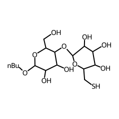 CCCCOC1OC(CO)C(OC2OC(CS)C(O)C(O)C2O)C(O)C1O